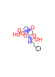 O=C(O)OC1CCCN2C(=O)CCC(NC(CCCc3ccccc3)C(=O)O)C(=O)N12